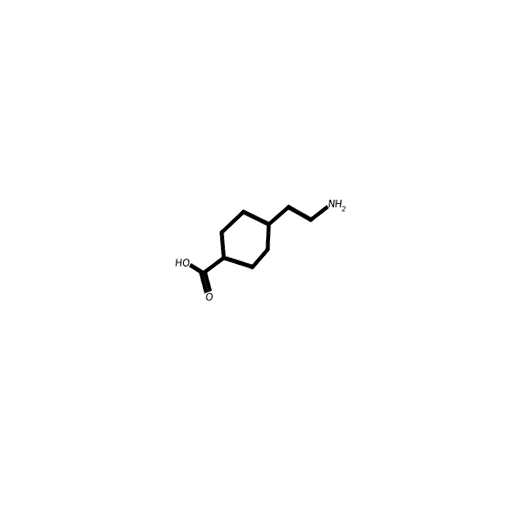 NCCC1CCC(C(=O)O)CC1